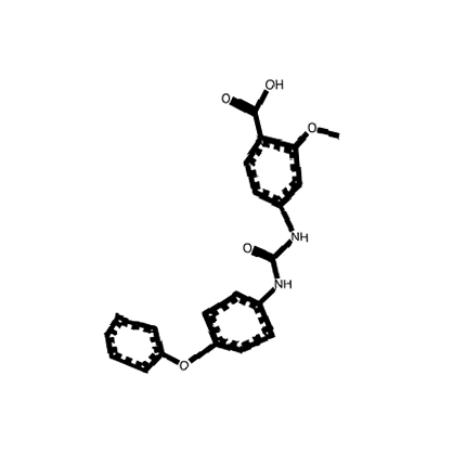 COc1cc(NC(=O)Nc2ccc(Oc3ccccc3)cc2)ccc1C(=O)O